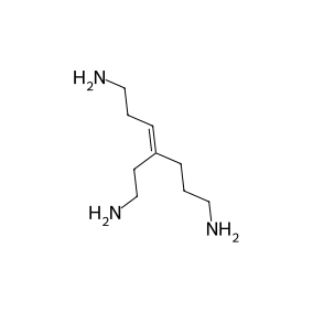 NCC/C=C(\CCN)CCCN